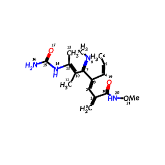 C=C(/C=C(\C=C/C)C(=N/C)/C(C)=C(\C)NC(N)=O)C(=O)NOC